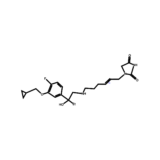 CCC(O)(CNCCC/C=C/CN1CC(=O)NC1=O)c1ccc(F)c(OCC2CC2)c1